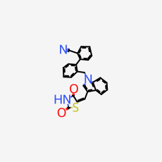 N#Cc1ccccc1-c1ccccc1Cn1cc(/C=C2/SC(=O)NC2=O)c2ccccc21